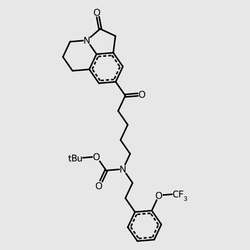 CC(C)(C)OC(=O)N(CCCCC(=O)c1cc2c3c(c1)CC(=O)N3CCC2)CCc1ccccc1OC(F)(F)F